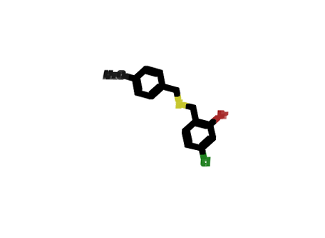 COc1ccc(CSCc2ccc(Cl)cc2Br)cc1